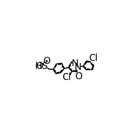 O=c1c(Cl)c(-c2ccc(C[SH](=O)=O)cc2)cnn1-c1cccc(Cl)c1